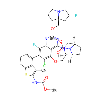 CC(C)(C)OC(=O)Nc1sc2c(c1C#N)C(c1c(Cl)c3c4c(nc(OC[C@@]56CCCN5C[C@H](F)C6)nc4c1F)N1C[C@H]4CC[C@@H]([C@H]1CO3)N4C(=O)OC(C)(C)C)=CCC2